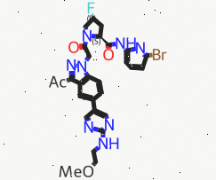 COCCNc1ncc(-c2ccc3c(c2)c(C(C)=O)nn3CC(=O)N2C[C@H](F)C[C@H]2C(=O)Nc2cccc(Br)n2)cn1